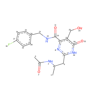 CC(=O)NC(C)Cc1nc(C(=O)NCc2ccc(F)cc2)c(CO)c(=O)[nH]1